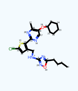 CCCCc1nc(NCc2cc(Cl)sc2-c2ncc(OC3CCCCC3)c(C)n2)no1